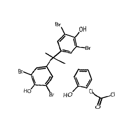 CC(C)(c1cc(Br)c(O)c(Br)c1)c1cc(Br)c(O)c(Br)c1.O=C(Cl)Cl.Oc1ccccc1